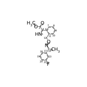 COC(=O)C(=N)c1ccccc1CO/N=C(\C)c1cccc(F)c1